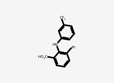 CC(C)c1cccc(C(=O)O)c1Nc1cccc(C(F)(F)F)c1